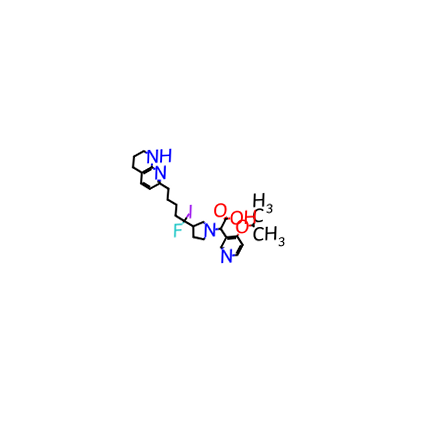 CC(C)Oc1ccncc1C(C(=O)O)N1CCC(C(F)(I)CCCCc2ccc3c(n2)NCCC3)C1